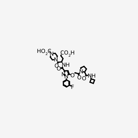 O=C(O)CCC(NC(=O)c1cc(OCC(=O)N2CCCC2C(=O)NC2CCC2)n(-c2cccc(F)c2)n1)C(=O)N1CCN(C(=O)O)CC1